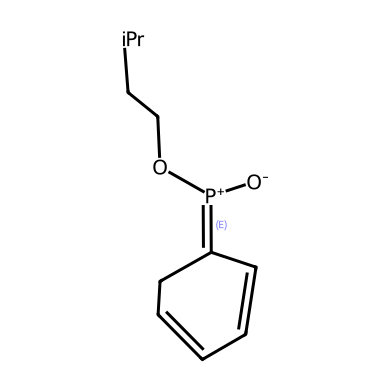 CC(C)CCO/[P+]([O-])=C1/C=CC=CC1